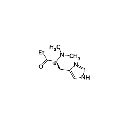 CCC(=O)[C@H](Cc1c[nH]cn1)N(C)C